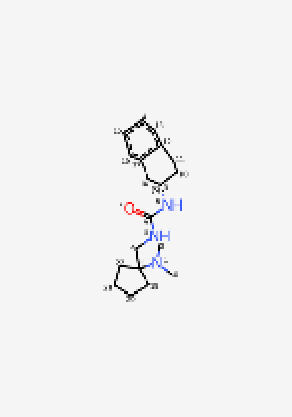 CN(C)C1(CNC(=O)N[C@H]2CCc3ccccc3C2)CCCC1